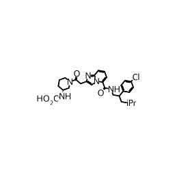 CC(C)CC(CNC(=O)c1cccc2nc(CC(=O)N3CCC[C@@H](NC(=O)O)C3)cn12)c1ccc(Cl)cc1